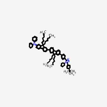 CCCCCCC1(CCCCCC)c2cc(-c3ccc(-c4nnc(-c5ccc(C(C)(C)C)cc5)n4-c4ccccc4)cc3)ccc2-c2ccc(-c3ccc4c(c3)C(CCCCCC)(CCCCCC)c3cc(N(c5ccccc5)c5ccccc5)ccc3-4)cc21